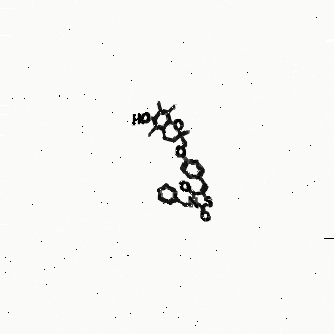 Cc1c(C)c2c(c(C)c1O)CCC(C)(COc1ccc(C=C3SC(=O)N(Cc4ccccc4)C3=O)cc1)O2